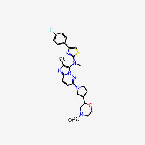 CCc1nc2ccc(N3CCC(C4CN(C=O)CCO4)C3)nn2c1N(C)c1nc(-c2ccc(F)cc2)cs1